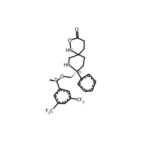 C[C@@H](OC[C@@]1(c2ccccc2)CCC2(CCC(=O)ON2)CN1)c1cc(C(F)(F)F)cc(C(F)(F)F)c1